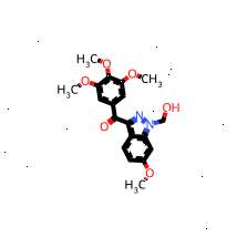 COc1ccc2c(C(=O)c3cc(OC)c(OC)c(OC)c3)nn(CO)c2c1